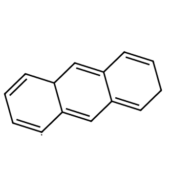 [C]1=CC=CC2C=C3C=CCC=C3C=C12